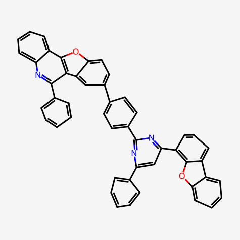 c1ccc(-c2cc(-c3cccc4c3oc3ccccc34)nc(-c3ccc(-c4ccc5oc6c7ccccc7nc(-c7ccccc7)c6c5c4)cc3)n2)cc1